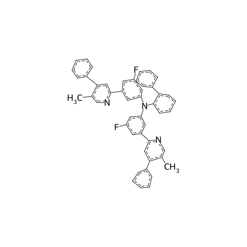 Cc1cnc(-c2cc(F)cc(N(c3cc(F)cc(-c4cc(-c5ccccc5)c(C)cn4)c3)c3ccccc3-c3ccccc3)c2)cc1-c1ccccc1